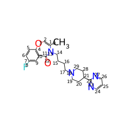 CC1=COc2ccc(F)cc2C(=O)N1CCCCN1CCC(c2ncccn2)CC1